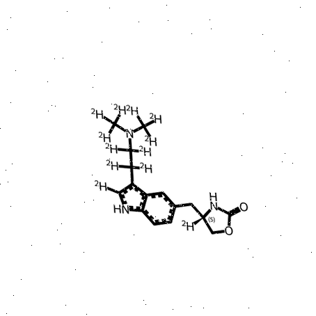 [2H]c1[nH]c2ccc(C[C@@]3([2H])COC(=O)N3)cc2c1C([2H])([2H])C([2H])([2H])N(C([2H])([2H])[2H])C([2H])([2H])[2H]